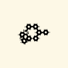 c1ccc(-c2cc(-c3ccccc3)cc(-c3cccc(-c4cccc(-c5nc(-c6ccccc6)c6c(ccc7sc8ccccc8c76)n5)c4)c3)c2)cc1